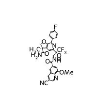 COc1cc(C(=O)NCC(O)(c2cc3c(c(-c4ccc(F)cc4)n2)OC[C@]3(C)C(N)=O)C(F)(F)F)cc2cc(C#N)cnc12